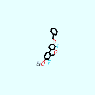 CCOc1ccc2c(c1F)COC1=C(F)C(OCc3ccccc3)CC=C12